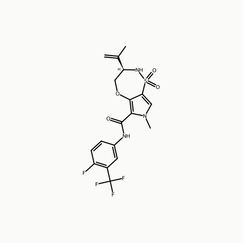 C=C(C)[C@@H]1COc2c(cn(C)c2C(=O)Nc2ccc(F)c(C(F)(F)F)c2)S(=O)(=O)N1